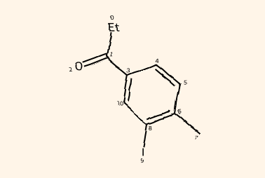 CCC(=O)c1ccc(C)c(I)c1